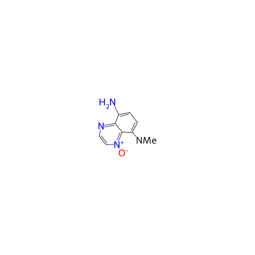 CNc1ccc(N)c2ncc[n+]([O-])c12